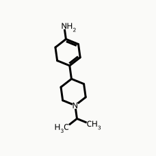 CC(C)N1CCC(C2=CC=C(N)CC2)CC1